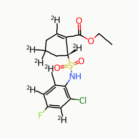 [2H]C1=C(C(=O)OCC)[C@]([2H])(S(=O)(=O)Nc2c([2H])c([2H])c(F)c([2H])c2Cl)CC([2H])([2H])C1